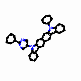 c1ccc(-c2ncc(-n3c4ccccc4c4cc5cc6c7ccccc7n(-c7ccccc7)c6cc5cc43)cn2)cc1